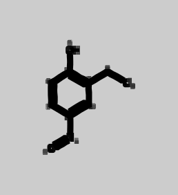 O=Nc1ccc(O)c(CCl)c1